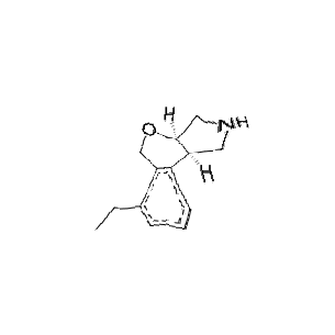 CCc1cccc2c1CO[C@H]1CNC[C@@H]21